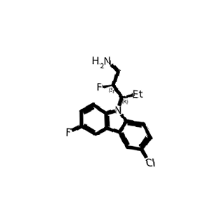 CC[C@H]([C@@H](F)CN)n1c2ccc(F)cc2c2cc(Cl)ccc21